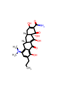 CCCc1cc(N(C)C)c2c(c1O)C(=O)C1=C(O)[C@]3(O)C(=O)C(C(N)=O)=C(O)C[C@@H]3C[C@@H]1C2